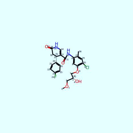 COC[C@@H](O)COc1cc(NC(=O)C2=CNC(=O)C[C@H]2c2ccc(F)cc2)c(C)cc1Cl